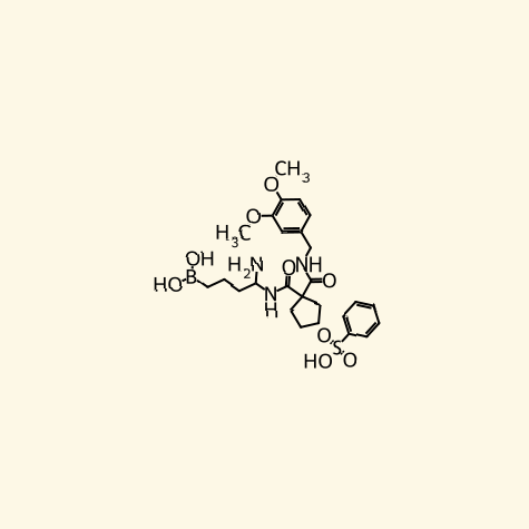 COc1ccc(CNC(=O)C2(C(=O)NC(N)CCCB(O)O)CCCC2)cc1OC.O=S(=O)(O)c1ccccc1